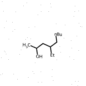 CCCCCC(CC)CC(C)O